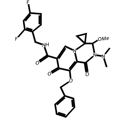 COC1N(N(C)C)C(=O)c2c(OCc3ccccc3)c(=O)c(C(=O)NCc3ccc(F)cc3F)cn2C12CC2